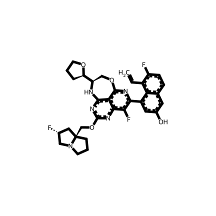 C=Cc1c(F)ccc2cc(O)cc(-c3nc4c5c(nc(OC[C@@]67CCCN6C[C@H](F)C7)nc5c3F)N[C@@H]([C@H]3CCCO3)CO4)c12